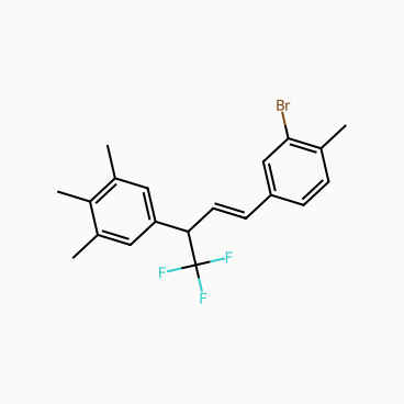 Cc1ccc(/C=C/C(c2cc(C)c(C)c(C)c2)C(F)(F)F)cc1Br